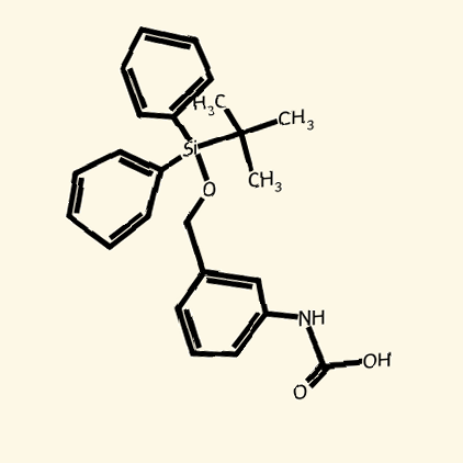 CC(C)(C)[Si](OCc1cccc(NC(=O)O)c1)(c1ccccc1)c1ccccc1